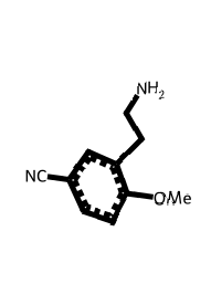 COc1ccc(C#N)cc1CCN